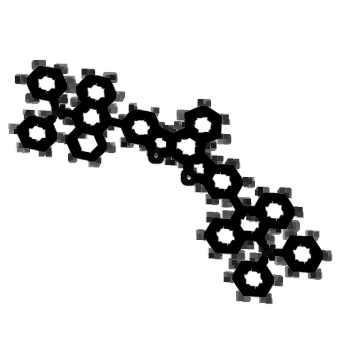 C1=Cc2c(c(-c3ccc4c(c3)oc3c5oc6cc(-c7c8ccccc8c(N(c8ccccc8)c8ccccc8)c8ccccc78)ccc6c5c5ccccc5c43)c3ccccc3c2N(c2ccccc2)c2ccccc2)CC1